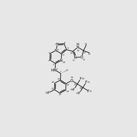 C[C@@H](Nc1ccn2ncc(C3=NOC(C)(C)N3)c2n1)c1cc(F)ccc1OC(F)(F)C(F)(F)F